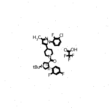 Cc1cc(C2CCN(C(=O)[C@@H]3CN(C(C)(C)C)C[C@H]3c3ccc(F)cc3F)CC2)n(-c2cccc(Cl)c2F)n1.O=C(O)C(F)(F)F